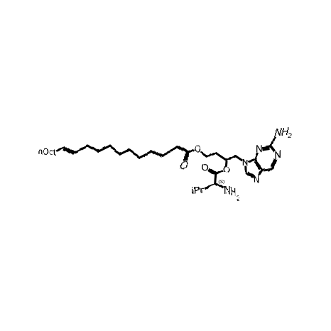 CCCCCCCCC=CCCCCCCCCCC(=O)OCCC(Cn1cnc2cnc(N)nc21)OC(=O)[C@@H](N)C(C)C